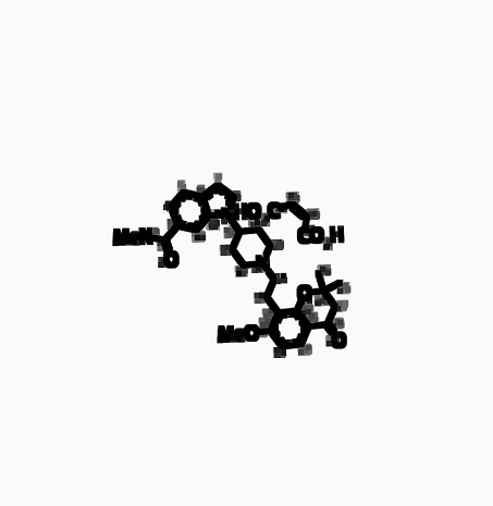 CNC(=O)c1ccc2ccn(C3CCN(CCc4c(OC)ccc5c4OC(C)(C)CC5=O)CC3)c2c1.O=C(O)/C=C\C(=O)O